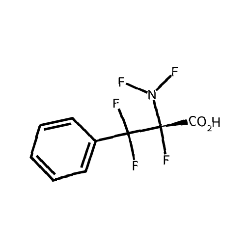 O=C(O)[C@](F)(N(F)F)C(F)(F)c1ccccc1